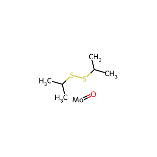 CC(C)SSC(C)C.[O]=[Mo]